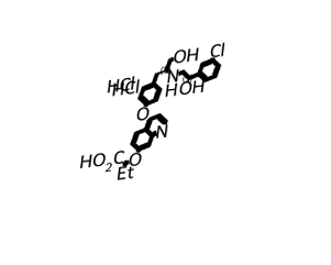 CCC(Oc1ccc2c(Oc3ccc(C[C@@H](CO)NC[C@@H](O)c4cccc(Cl)c4)cc3)ccnc2c1)C(=O)O.Cl.Cl